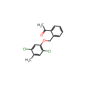 CC(=O)c1ccccc1COc1cc(Cl)c(C)cc1Cl